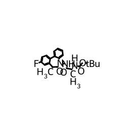 CC1C(=O)N(NC(=O)[C@H](C)NC(=O)OC(C)(C)C)c2ccccc2-c2ccc(F)cc21